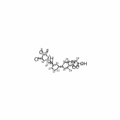 COc1c(F)cc(C(C)Nc2cccc(-c3cc(C)c(C(=O)NC(C)C(=O)O)c(C)c3)c2)cc1Cl